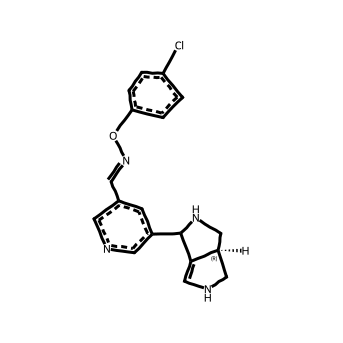 Clc1ccc(ON=Cc2cncc(C3NC[C@H]4CNC=C34)c2)cc1